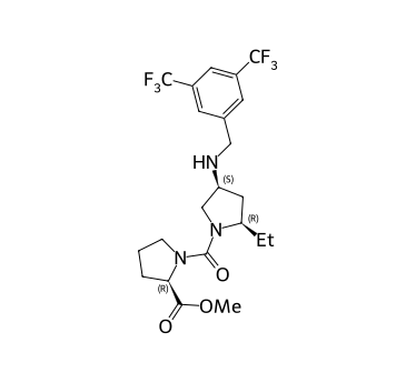 CC[C@@H]1C[C@H](NCc2cc(C(F)(F)F)cc(C(F)(F)F)c2)CN1C(=O)N1CCC[C@@H]1C(=O)OC